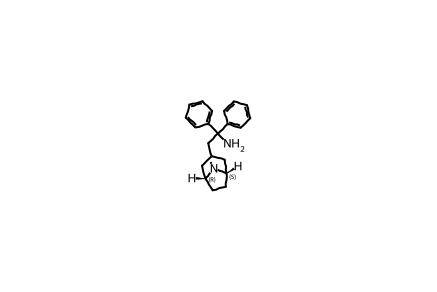 CN1[C@@H]2CC[C@H]1CC(CC(N)(c1ccccc1)c1ccccc1)C2